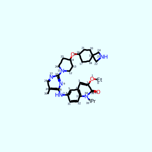 CCOc1cc2cc(Nc3nc(N4CCC(OC5CCC6(CC5)CNC6)CC4)ncc3C)ccc2n(C(C)C)c1=O